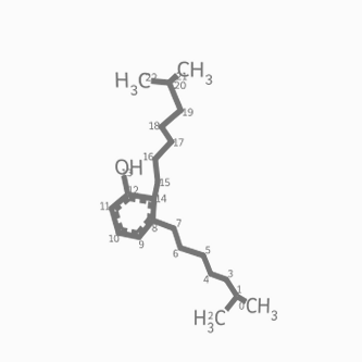 CC(C)CCCCCc1cccc(O)c1CCCCCC(C)C